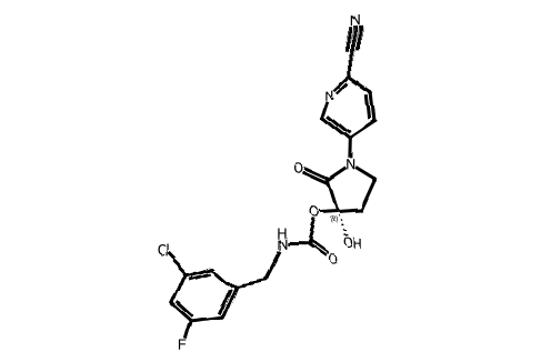 N#Cc1ccc(N2CC[C@@](O)(OC(=O)NCc3cc(F)cc(Cl)c3)C2=O)cn1